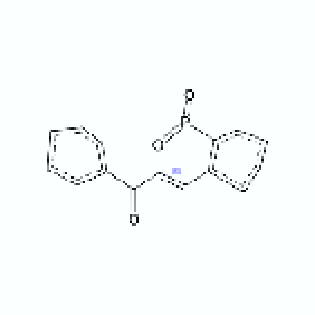 O=C(/C=C/c1ccccc1P(=O)=O)c1ccccc1